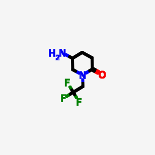 NC1CCC(=O)N(CC(F)(F)F)C1